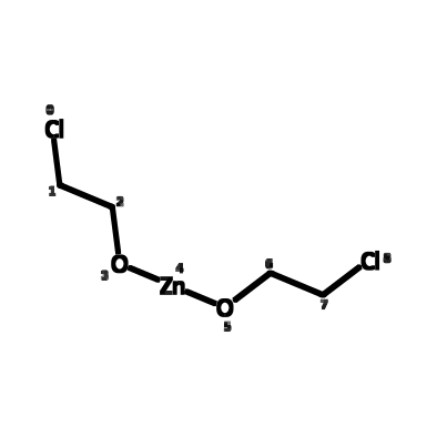 ClCC[O][Zn][O]CCCl